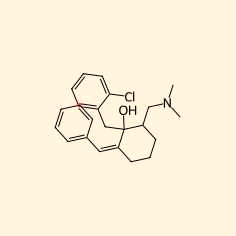 CN(C)CC1CCC/C(=C/c2ccccc2)C1(O)Cc1ccccc1Cl